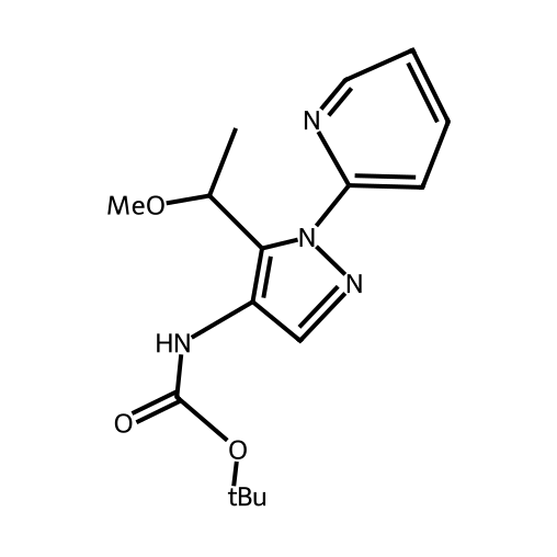 COC(C)c1c(NC(=O)OC(C)(C)C)cnn1-c1ccccn1